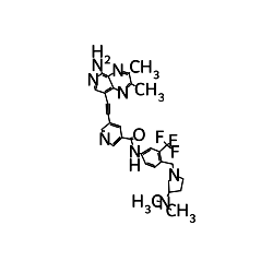 Cc1nc2c(C#Cc3cncc(C(=O)Nc4ccc(CN5CC[C@@H](N(C)C)C5)c(C(F)(F)F)c4)c3)cnc(N)c2nc1C